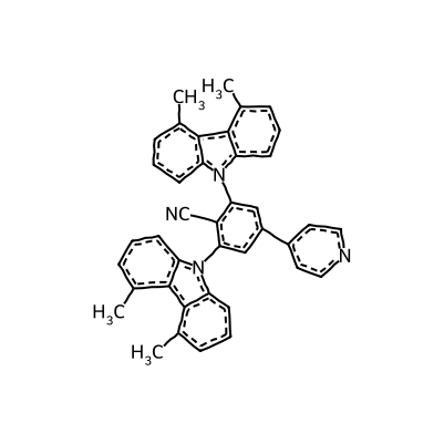 Cc1cccc2c1c1c(C)cccc1n2-c1cc(-c2ccncc2)cc(-n2c3cccc(C)c3c3c(C)cccc32)c1C#N